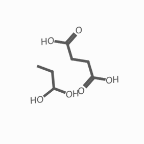 CCC(O)O.O=C(O)CCC(=O)O